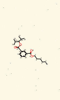 CCCCCCOC(=O)c1cccc(C(=O)OC(C(C)C)C(C)C)c1